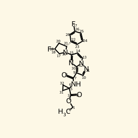 CCOC(=O)C1(NC(=O)c2cnn3ccc(N4C[C@@H](F)C[C@@H]4c4cccc(F)c4)nc23)CC1